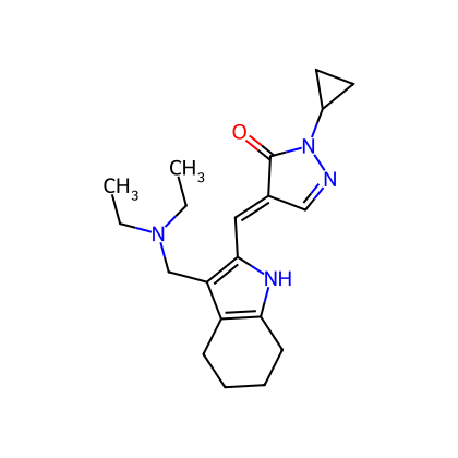 CCN(CC)Cc1c(/C=C2\C=NN(C3CC3)C2=O)[nH]c2c1CCCC2